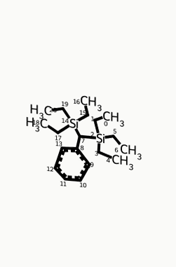 CC[Si](CC)(CC)C(c1[c]cccc1)[Si](CC)(CC)CC